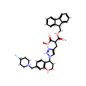 COC(=O)C(Cc1cn(C2CCOc3cc(CN4CCC(F)CC4)ccc32)nn1)C(=O)OCC1c2ccccc2-c2ccccc21